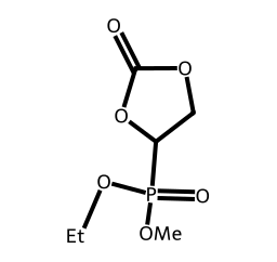 CCOP(=O)(OC)C1COC(=O)O1